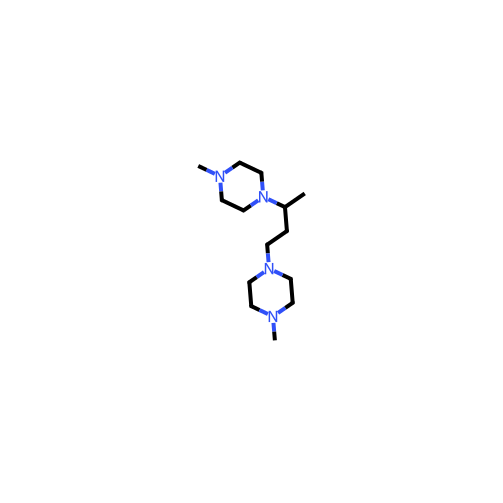 CC(CCN1CCN(C)CC1)N1CCN(C)CC1